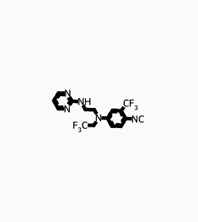 [C-]#[N+]c1ccc(N(CCNc2ncccn2)CC(F)(F)F)cc1C(F)(F)F